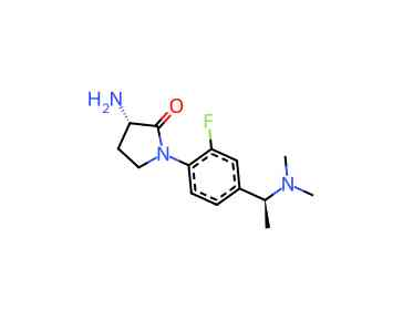 C[C@@H](c1ccc(N2CC[C@H](N)C2=O)c(F)c1)N(C)C